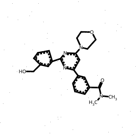 CN(C)C(=O)c1cccc(-c2cc(N3CCOCC3)nc(-c3cccc(CO)c3)n2)c1